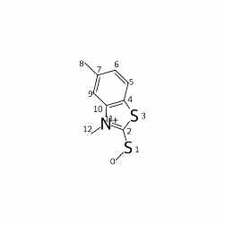 CSc1sc2ccc(C)cc2[n+]1C